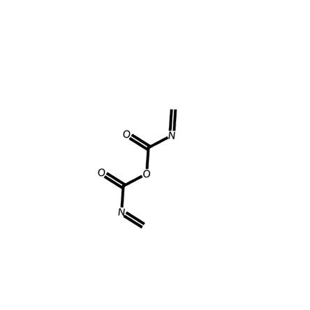 C=NC(=O)OC(=O)N=C